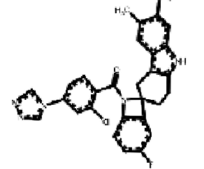 Cc1cc2[nH]c3c(c2cc1C)CC1(CC3)c2cc(F)ccc2N1C(=O)c1ccc(-n2cnnc2)cc1Cl